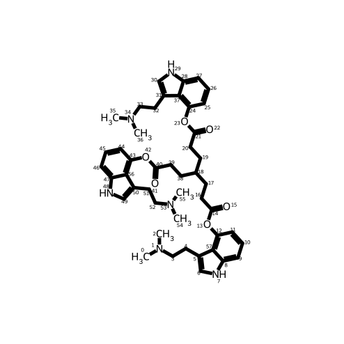 CN(C)CCc1c[nH]c2cccc(OC(=O)CCC(CCC(=O)Oc3cccc4[nH]cc(CCN(C)C)c34)CCC(=O)Oc3cccc4[nH]cc(CCN(C)C)c34)c12